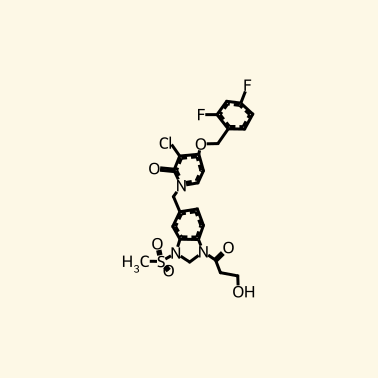 CS(=O)(=O)N1CN(C(=O)CCO)c2ccc(Cn3ccc(OCc4ccc(F)cc4F)c(Cl)c3=O)cc21